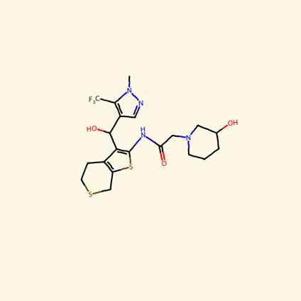 Cn1ncc(C(O)c2c(NC(=O)CN3CCCC(O)C3)sc3c2CCSC3)c1C(F)(F)F